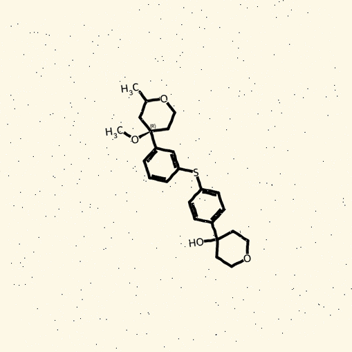 CO[C@]1(c2cccc(Sc3ccc(C4(O)CCOCC4)cc3)c2)CCOC(C)C1